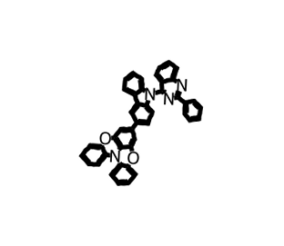 c1ccc(-c2nc(-n3c4ccccc4c4cc(-c5cc6c7c(c5)Oc5ccccc5N7c5ccccc5O6)ccc43)c3ccccc3n2)cc1